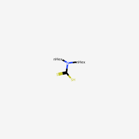 CCCCCCN(CCCCCC)C(=S)S